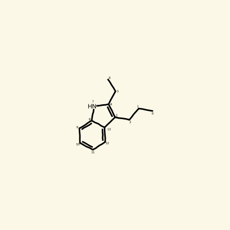 CCCc1c(CC)[nH]c2ccccc12